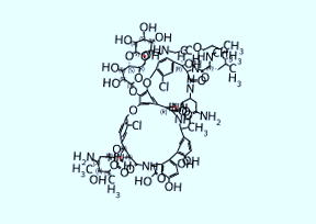 CCCCOCCCNC[C@H]1O[C@@H](O[C@H]2[C@H](O)[C@@H](O)[C@H](Oc3c4cc5cc3Oc3ccc(cc3Cl)[C@@H](O[C@H]3C[C@](C)(N)[C@@H](O)[C@H](C)O3)[C@H](NC=O)C(=O)NC(C(=O)O)c3cc(O)cc(O)c3-c3cc(ccc3O)C(C)NC(=O)[C@@H]5NC(=O)C(CC(N)=O)NC(=O)C(NC(=O)[C@@H](CC(C)C)NC)[C@H](O)c3ccc(c(Cl)c3)O4)O[C@@H]2CO)[C@H](O)[C@@H](O)[C@H]1O